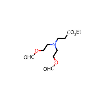 CCOC(=O)CCN(CCOC=O)CCOC=O